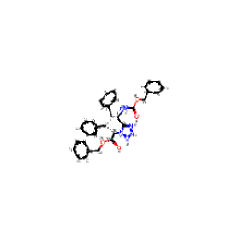 O=C(N[C@@H](Cc1ccccc1)c1nnnn1[C@@H](Cc1ccccc1)C(=O)OCc1ccccc1)OCc1ccccc1